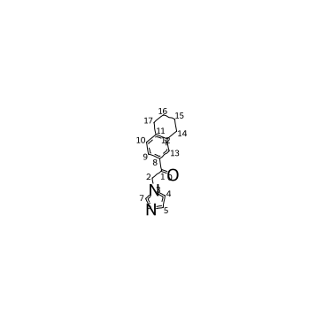 O=C(Cn1ccnc1)c1ccc2c(c1)CCCC2